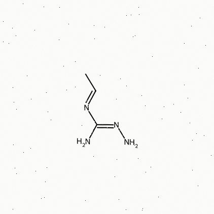 CC=NC(N)=NN